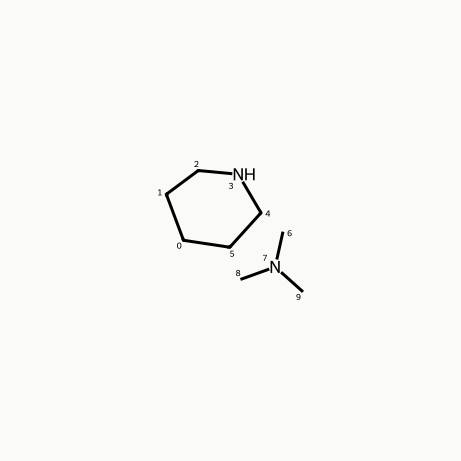 C1CCNCC1.CN(C)C